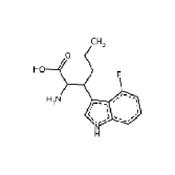 CCCC(c1c[nH]c2cccc(F)c12)C(N)C(=O)O